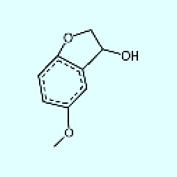 COc1ccc2c(c1)C(O)CO2